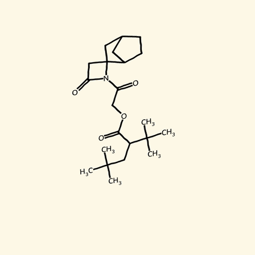 CC(C)(C)CC(C(=O)OCC(=O)N1C(=O)CC12CC1CCC2C1)C(C)(C)C